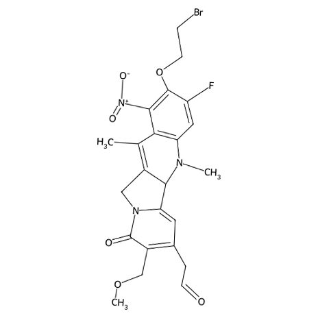 COCc1c(CC=O)cc2n(c1=O)CC1=C(C)c3c(cc(F)c(OCCBr)c3[N+](=O)[O-])N(C)C12